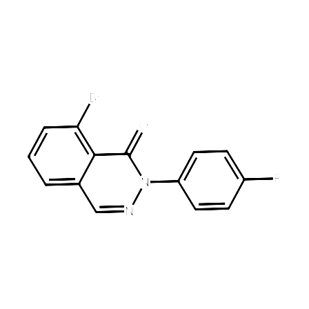 O=c1c2c(Br)cccc2cnn1-c1ccc(F)cc1